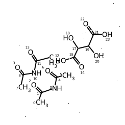 CC(=O)NC(C)=O.CC(=O)NC(C)=O.O=C(O)C(O)C(O)C(=O)O